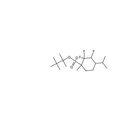 CC(C)C1CCC(C)(S(=O)(=O)O[Si](C)(C)C(C)(C)C)C(F)(F)C1F